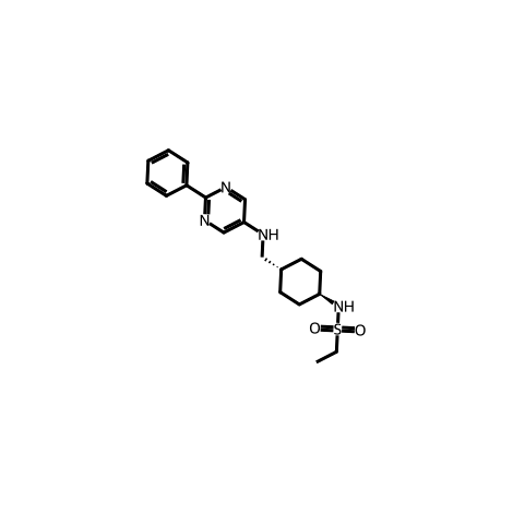 CCS(=O)(=O)N[C@H]1CC[C@H](CNc2cnc(-c3ccccc3)nc2)CC1